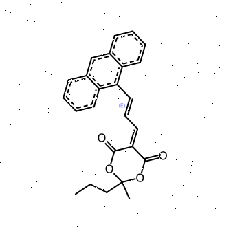 CCCC1(C)OC(=O)C(=C/C=C/c2c3ccccc3cc3ccccc23)C(=O)O1